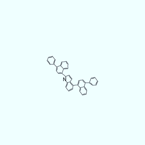 c1ccc(-c2ccc(-c3ccc4c(-c5ccc(-c6ccccc6)c6ccccc56)cccc4n3)c3ccccc23)cc1